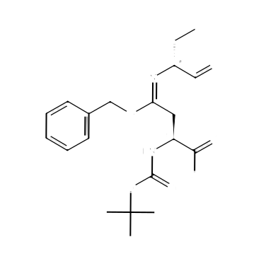 CC[C@H](C=O)N=C(C[C@H](NC(=O)OC(C)(C)C)C(=O)O)OCc1ccccc1